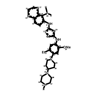 CCc1cc(Nc2nsc(Nc3ccc4nccnc4c3P(C)C)n2)c(OC)cc1N1CCC(N2CCN(C)CC2)CC1